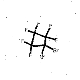 FC1(F)C(F)(F)C(Br)(Br)C1(F)F